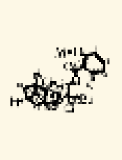 COc1cccc(F)c1C(=O)OC[C@](Cl)(B1OC2C[C@@H]3C[C@@H](C3(C)C)[C@]2(C)O1)C(C)(C)C